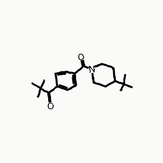 CC(C)(C)C(=O)c1ccc(C(=O)N2CCC(C(C)(C)C)CC2)cc1